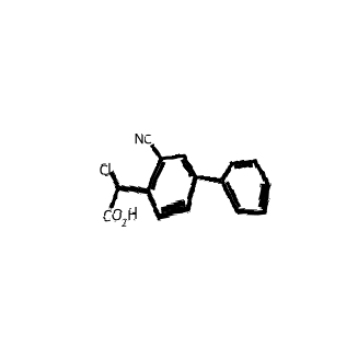 N#Cc1cc(-c2ccccc2)ccc1C(Cl)C(=O)O